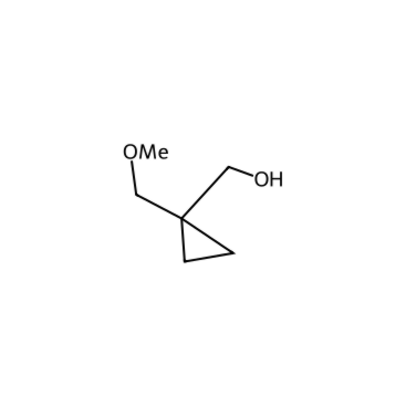 COCC1(CO)CC1